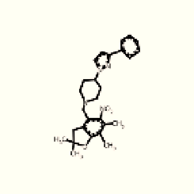 Cc1c(C)c([N+](=O)[O-])c(CN2CCC(n3ccc(-c4ccccc4)n3)CC2)c2c1OC(C)(C)C2